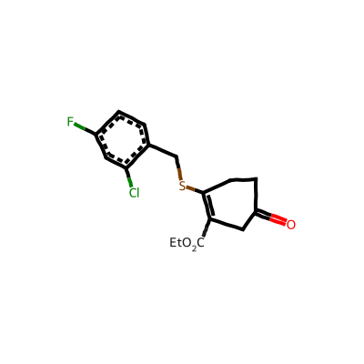 CCOC(=O)C1=C(SCc2ccc(F)cc2Cl)CCC(=O)C1